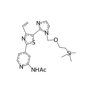 C=Cc1nc(-c2ccnc(NC(C)=O)c2)sc1-c1nccn1COCC[Si](C)(C)C